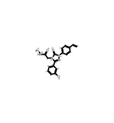 C=Cc1ccc(-n2nc(-c3cccc(Cl)c3)n(CC(=O)NC(C)C)c2=O)cc1